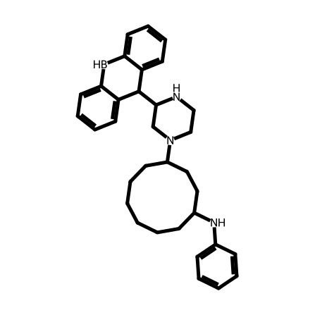 B1c2ccccc2C(C2CN(C3CCCCCCC(Nc4ccccc4)CC3)CCN2)c2ccccc21